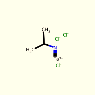 CC(C)[N]=[Ta+3].[Cl-].[Cl-].[Cl-]